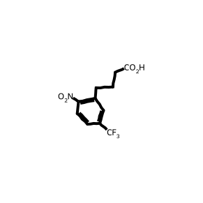 O=C(O)CCCc1cc(C(F)(F)F)ccc1[N+](=O)[O-]